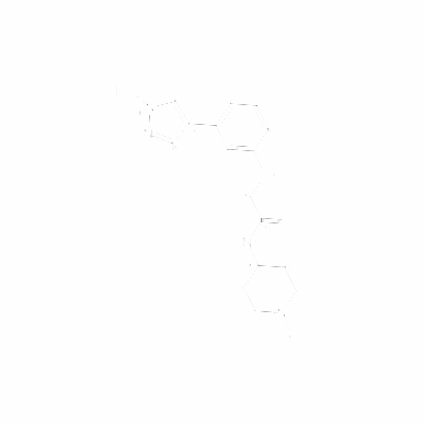 CN1CCC(NC(=O)COc2c[c]cc(-c3cnn(C)c3)c2)CC1